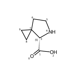 O=C(O)[C@H]1NCCC12CC2